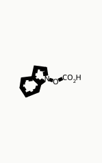 O=C(O)On1ccc2ccccc21